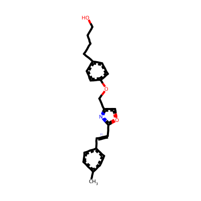 Cc1ccc(/C=C/c2nc(COc3ccc(CCCCO)cc3)co2)cc1